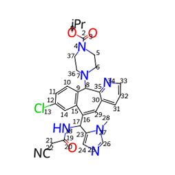 CC(C)OC(=O)N1CCN(C2c3ccc(Cl)cc3C(C(NC(=O)CC#N)c3cncn3C)=Cc3cccnc32)CC1